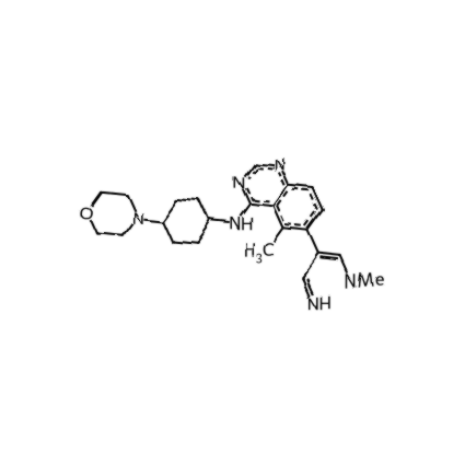 CN/C=C(\C=N)c1ccc2ncnc(NC3CCC(N4CCOCC4)CC3)c2c1C